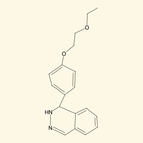 CCOCCOc1ccc(C2NN=Cc3ccccc32)cc1